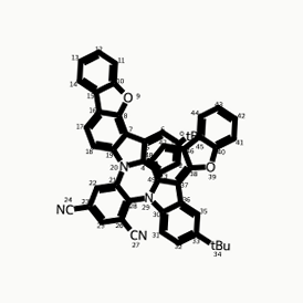 CC(C)(C)c1ccc2c(c1)c1c3oc4ccccc4c3ccc1n2-c1cc(C#N)cc(C#N)c1-n1c2ccc(C(C)(C)C)cc2c2c3oc4ccccc4c3ccc21